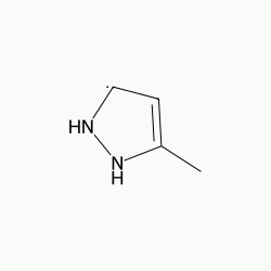 CC1=C[CH]NN1